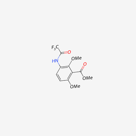 COC(=O)c1c(OC)ccc(NC(=O)C(F)(F)F)c1OC